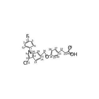 Cc1cc(F)ccc1-n1cc(Cl)c2ccc(COc3ccc(CCC(=O)O)cc3)cc21